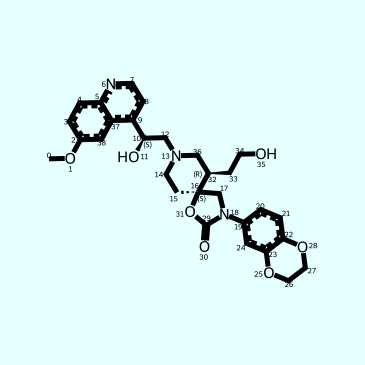 COc1ccc2nccc([C@H](O)CN3CC[C@@]4(CN(c5ccc6c(c5)OCCO6)C(=O)O4)[C@H](CCO)C3)c2c1